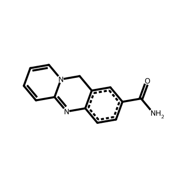 NC(=O)c1ccc2c(c1)CN1C=CC=CC1=N2